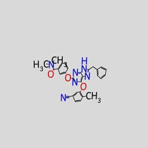 Cc1ccc(C#N)cc1Oc1nc(Oc2cccc(C(=O)N(C)C)c2)nc2[nH]c(Cc3ccccc3)nc12